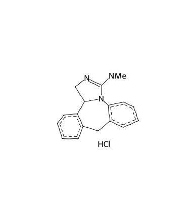 CNC1=NCC2c3ccccc3Cc3ccccc3N12.Cl